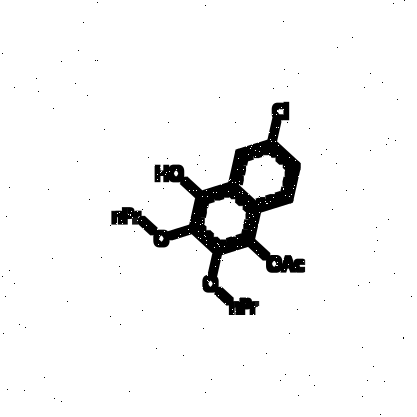 CCCOc1c(OCCC)c(OC(C)=O)c2ccc(Cl)cc2c1O